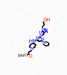 COC(=O)CCN1CCC(Nc2cc(N3CCCCC3)nc(NCc3cn(CCCO)nn3)n2)CC1